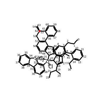 CCCc1ccc2c(c1-c1ccccc1CC)C=C(C(C)CC)[CH]2[Zr]([Cl])([Cl])([c]1cccc2c1[SiH2]c1ccccc1-2)[CH]1C(C(C)CC)=Cc2c1ccc(CCC)c2-c1ccccc1CC